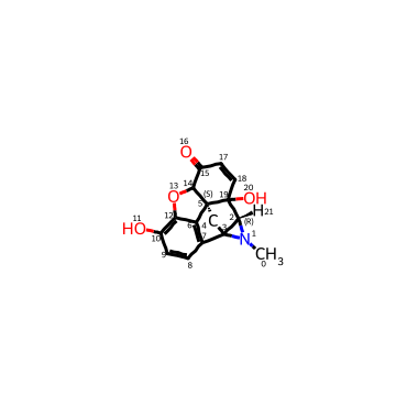 CN1[C@@H]2C13C[C@]14c5c3ccc(O)c5OC1C(=O)C=CC24O